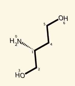 N[C@@H](CO)CCO